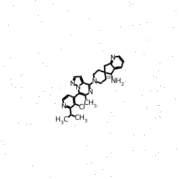 Cc1nc(N2CCC3(CC2)Cc2ncccc2[C@H]3N)c2ccnn2c1-c1ccnc(C(C)C)c1Cl